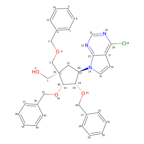 OC[C@]1(COCc2ccccc2)C[C@@H](n2ccc3c(Cl)ncnc32)[C@H](OCc2ccccc2)[C@@H]1OCc1ccccc1